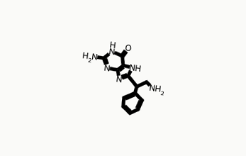 NCC(c1ccccc1)c1nc2nc(N)[nH]c(=O)c2[nH]1